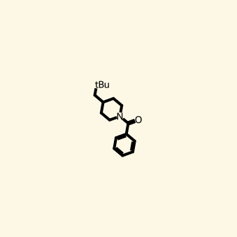 CC(C)(C)CC1CCN(C(=O)c2ccccc2)CC1